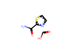 NC(=O)c1nccs1.O=CO